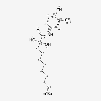 CCCCSCCCCCCCC(O)(O)C(=O)Nc1ccc(C#N)c(C(F)(F)F)c1